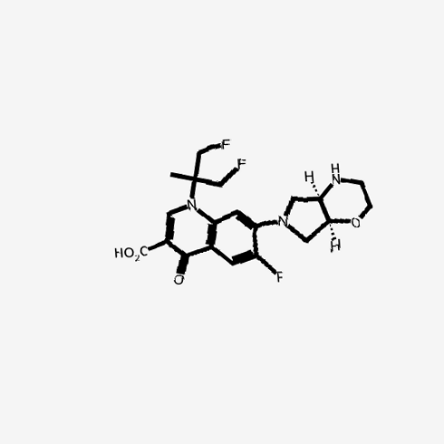 CC(CF)(CF)n1cc(C(=O)O)c(=O)c2cc(F)c(N3C[C@@H]4OCCN[C@@H]4C3)cc21